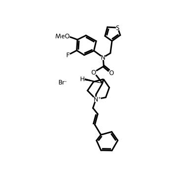 COc1ccc(N(Cc2ccsc2)C(=O)O[C@H]2C[N+]3(C/C=C/c4ccccc4)CCC2CC3)cc1F.[Br-]